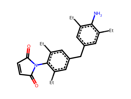 CCc1cc(Cc2cc(CC)c(N3C(=O)C=CC3=O)c(CC)c2)cc(CC)c1N